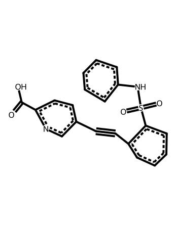 O=C(O)c1ccc(C#Cc2ccccc2S(=O)(=O)Nc2ccccc2)cn1